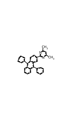 Cc1cc(C)nc(-c2ccc3c(-c4ccccc4)c4ccccc4c(-c4ccccc4)c3c2)n1